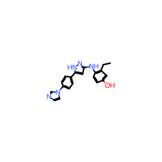 CCc1cc(O)ccc1Nc1cc(-c2ccc(-n3ccnc3)cc2)[nH]n1